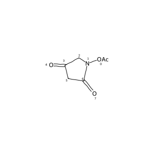 CC(=O)ON1CC(=O)CC1=O